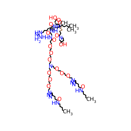 C#CC(SCCC(=O)N1CC[C@@H](O)C1)(C(=O)[C@H](CC(=O)O)NC(=O)[C@H](CCCCNC(=N)N)NC(=O)CNC(=O)CCOCCOCCOCCN(CCOCCOCCOCCn1cc(CCC(=O)NCCCCC)nn1)CCOCCOCCOCCn1cc(CCC(=O)NCCCCC)nn1)C(C)CCC(C)C